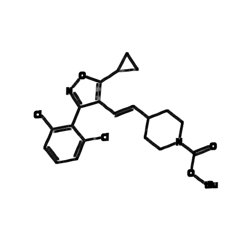 CC(C)(C)OC(=O)N1CCC(C=Cc2c(-c3c(Cl)cccc3Cl)noc2C2CC2)CC1